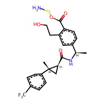 C[C@@H](NC(=O)[C@H]1C[C@]1(C)c1ccc(C(F)(F)F)cc1)c1ccc(C(=O)OSN)c(CCO)c1